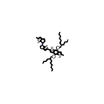 CCCCCCC(CCCC)COc1c2cc(-c3cc4c(s3)/C(=C3\CCc5cc(C)sc53)CC4)sc2c(OCC(CCCC)CCCCCC)c2cc(C)sc12